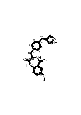 COc1ccc2c(c1)C(=O)NC(Cc1ccc(Cc3cn[nH]c3)cc1)C(=O)N2